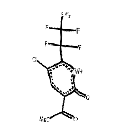 COC(=O)c1cc(Cl)c(C(F)(F)C(F)(F)C(F)(F)F)[nH]c1=O